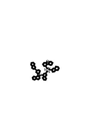 c1ccc2cc(-c3ccc4c(c3)c3c5ccccc5ccc3n4-c3cc(-c4nc(-c5ccc6ccccc6c5)nc(-c5cccc6oc7ccccc7c56)n4)cc4ccccc34)ccc2c1